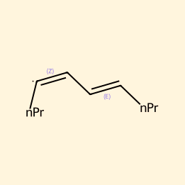 CCC/[C]=C\C=C\CCC